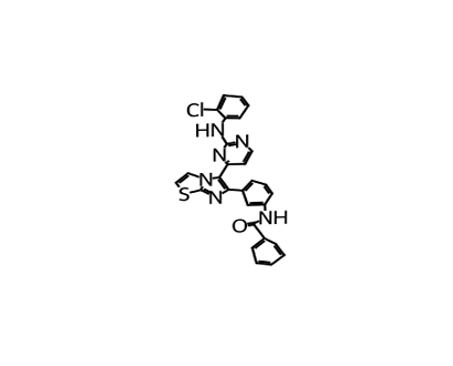 O=C(Nc1cccc(-c2nc3sccn3c2-c2ccnc(Nc3ccccc3Cl)n2)c1)c1ccccc1